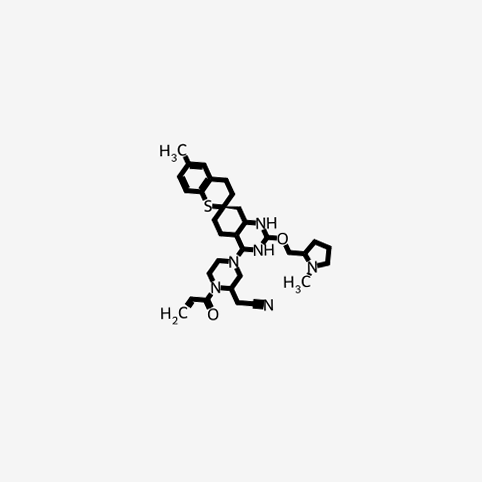 C=CC(=O)N1CCN(C2NC(OCC3CCCN3C)NC3C[C@@]4(CCc5cc(C)ccc5S4)CCC32)CC1CC#N